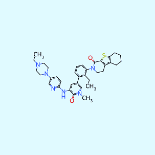 CCc1c(-c2cc(Nc3ccc(N4CCN(CC)CC4)cn3)c(=O)n(C)c2)cccc1N1CCc2c(sc3c2CCCC3)C1=O